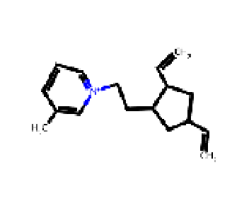 C=CC1CC(C=C)C(CC[n+]2cccc(C)c2)C1